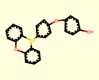 Oc1ccc(Oc2ccc([SH]3c4ccccc4Oc4ccccc43)cc2)cc1